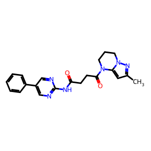 Cc1cc2n(n1)CCCN2C(=O)CCC(=O)Nc1ncc(-c2ccccc2)cn1